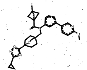 COc1ccc(-c2cccc(N(CC34CCC(c5nc(C6CC6)no5)(CC3)CC4)C(=O)C34CC(F)(C3)C4)c2)cn1